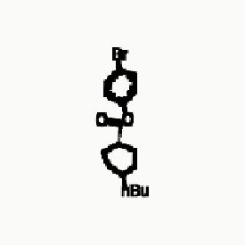 CCCC[C@H]1CC[C@H](C(=O)Oc2ccc(Br)cc2)CC1